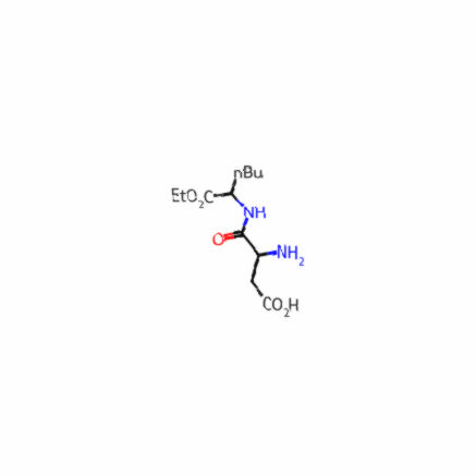 CCCCC(NC(=O)C(N)CC(=O)O)C(=O)OCC